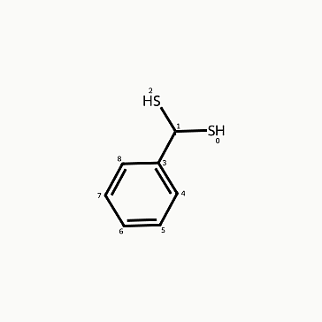 S[C](S)c1ccccc1